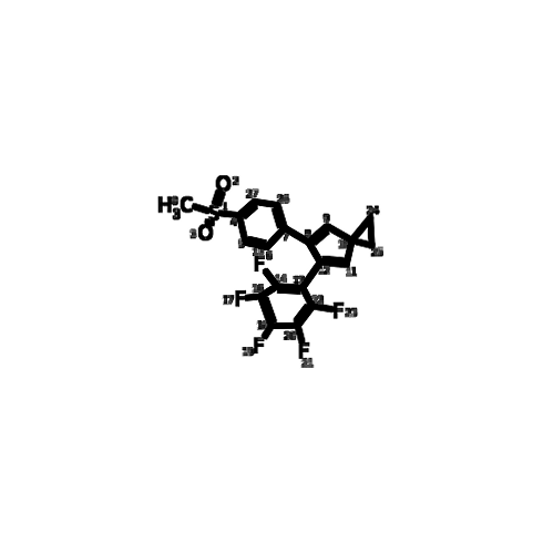 CS(=O)(=O)c1ccc(C2=CC3(C=C2c2c(F)c(F)c(F)c(F)c2F)CC3)cc1